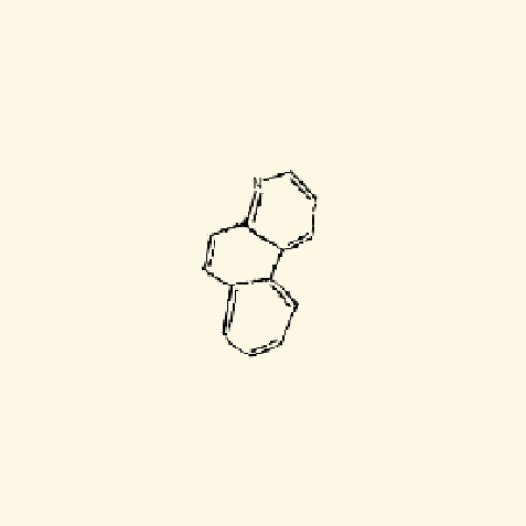 [c]1cc2ccccc2c2cccnc12